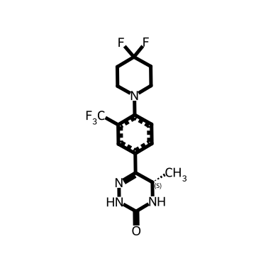 C[C@@H]1NC(=O)NN=C1c1ccc(N2CCC(F)(F)CC2)c(C(F)(F)F)c1